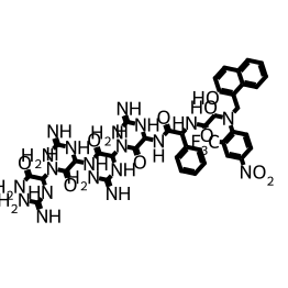 N=C(N)NC(NC(=O)C(NC(=N)N)NC(=O)C(NC(=N)N)NC(=O)C(NC(=N)N)NC(=O)C(NC(=O)C(O)N(Cc1c(O)ccc2ccccc12)c1ccc([N+](=O)[O-])cc1C(F)(F)F)c1ccccc1)C(N)=O